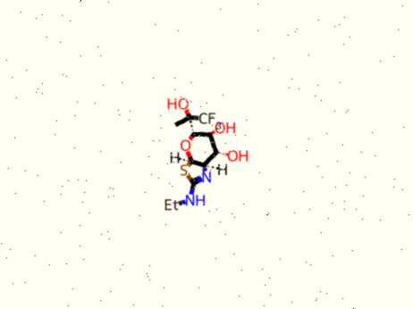 CCNC1=N[C@@H]2[C@@H](O)[C@H](O)[C@@H](C(C)(O)C(F)(F)F)O[C@@H]2S1